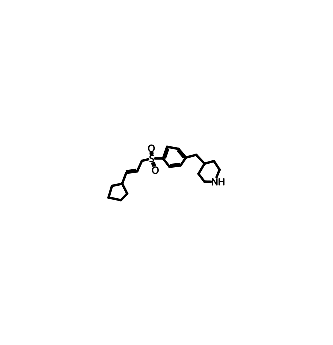 O=S(=O)(CC=CC1CCCC1)c1ccc(CC2CCNCC2)cc1